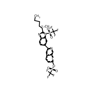 CCCC[C@H](C)c1nc2ccc(-c3cc4ccc(OS(=O)(=O)C(F)(F)F)cc4cn3)cc2n1S(=O)(=O)C(F)(F)F